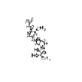 Cc1cc(Cn2cc3c(NC(=O)C(C)O)nccc3n2)cnc1OCC(F)F